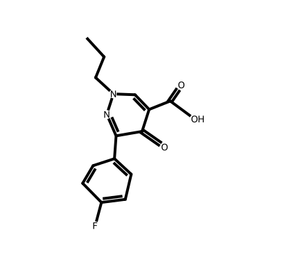 CCCn1cc(C(=O)O)c(=O)c(-c2ccc(F)cc2)n1